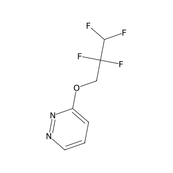 FC(F)C(F)(F)COc1cccnn1